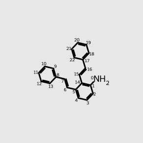 Nc1cccc(C=Cc2ccccc2)c1C=Cc1ccccc1